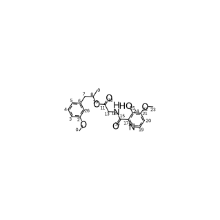 COc1cccc(CC(C)OC(=O)CNC(=O)c2nccc(OC)c2O)c1